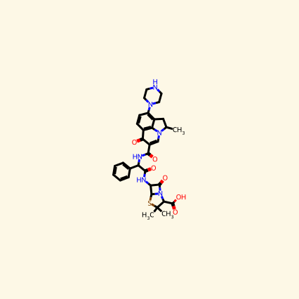 CC1Cc2c(N3CCNCC3)ccc3c(=O)c(C(=O)NC(C(=O)NC4C(=O)N5C4SC(C)(C)C5C(=O)O)c4ccccc4)cn1c23